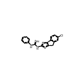 N=C(Nc1ccccc1)Nc1nc2c(s1)Cc1cc(Cl)ccc1-2